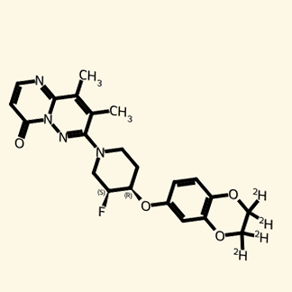 [2H]C1([2H])Oc2ccc(O[C@@H]3CCN(c4nn5c(=O)ccnc5c(C)c4C)C[C@@H]3F)cc2OC1([2H])[2H]